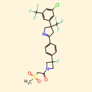 CS(=O)(=O)CC(=O)N1CC(F)(c2ccc(C3=NCC(c4cc(Cl)cc(C(F)(F)F)c4)(C(F)(F)F)C3)cc2)C1